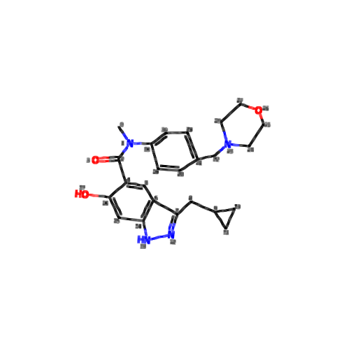 CN(C(=O)c1cc2c(CC3CC3)n[nH]c2cc1O)c1ccc(CN2CCOCC2)cc1